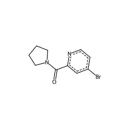 O=C(c1cc(Br)ccn1)N1CCCC1